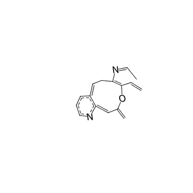 C=C/C1=C(\N=C/C)C/C=c2/cccn/c2=C/C(=C)O1